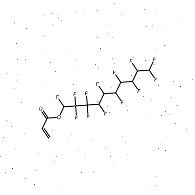 C=CC(=O)OC(F)C(F)(F)C(F)(F)C(F)C(F)C(F)C(F)C(F)C(F)C(F)F